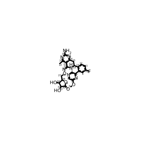 COc1cncc(-c2cc(F)ccc2C2Cc3nc(N)nc(C)c3C(=NOCC3OC(=O)C(O)C3O)N2)n1